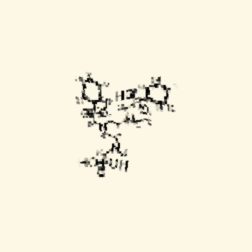 CCN(CCN(CCN(C)CP(=O)(O)O)CP(=O)(OI)c1ccccc1)CP(=O)(O)c1ccccc1